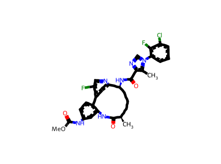 COC(=O)Nc1ccc2c(c1)NC(=O)[C@H](C)CCC[C@H](NC(=O)c1ncn(-c3cccc(Cl)c3F)c1C)c1cc-2c(F)cn1